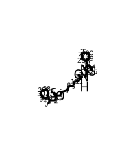 CC(CC(=S)OCCCCCCC(=O)Nc1nc(-c2ccccc2)cs1)c1ccccc1